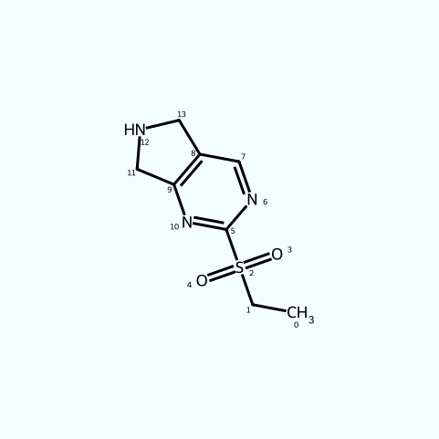 CCS(=O)(=O)c1ncc2c(n1)CNC2